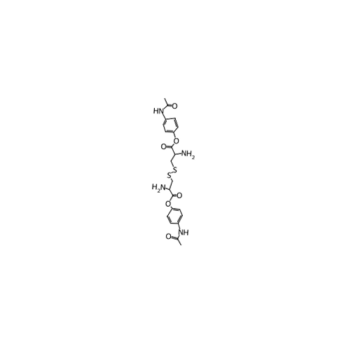 CC(=O)Nc1ccc(OC(=O)C(N)CSSCC(N)C(=O)Oc2ccc(NC(C)=O)cc2)cc1